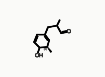 CC(C=O)CC1=C[C@@H](C)C(O)C=C1